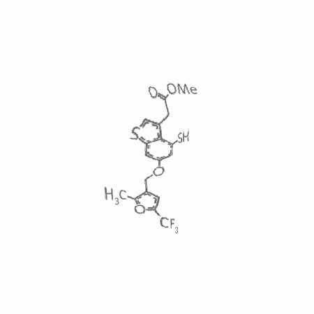 COC(=O)Cc1csc2cc(OCc3cc(C(F)(F)F)oc3C)cc(S)c12